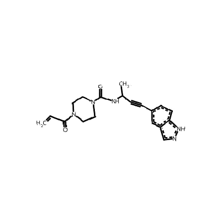 C=CC(=O)N1CCN(C(=O)NC(C)C#Cc2ccc3[nH]ncc3c2)CC1